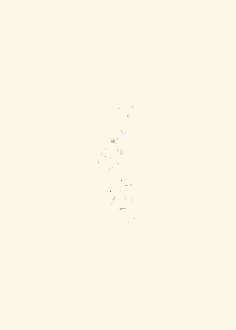 COc1cc(O)c(C(=O)N2Cc3ccc(Cl)c(NC(=O)/C=C/CN(C)C)c3C2)cc1C(C)C